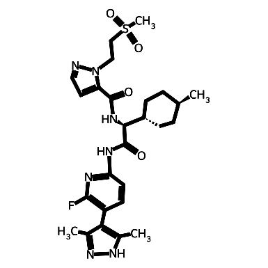 Cc1n[nH]c(C)c1-c1ccc(NC(=O)[C@@H](NC(=O)c2ccnn2CCS(C)(=O)=O)[C@H]2CC[C@H](C)CC2)nc1F